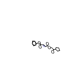 O=C(/C=C/C(=O)Oc1ccccc1)OCC(=O)C1CCCC1